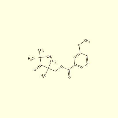 COc1cccc(C(=O)OCC(C)(C)C(=O)C(C)(C)C)c1